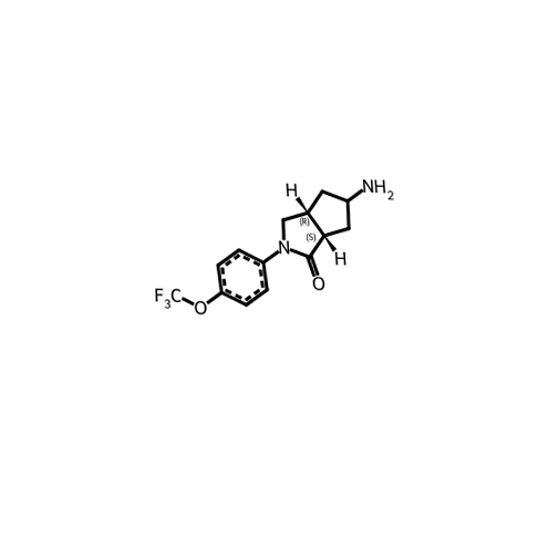 NC1C[C@H]2CN(c3ccc(OC(F)(F)F)cc3)C(=O)[C@H]2C1